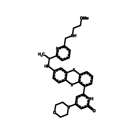 COCCNCc1cccc(C(C)Nc2ccc3c(c2)Sc2cccc(-c4cc(N5CCOCC5)cc(=O)[nH]4)c2S3)n1